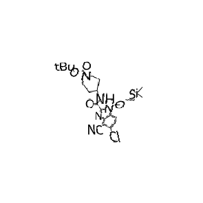 CC(C)(C)OC(=O)N1CCC(NC(=O)c2nc3c(C#N)c(Cl)ccc3n2COCC[Si](C)(C)C)CC1